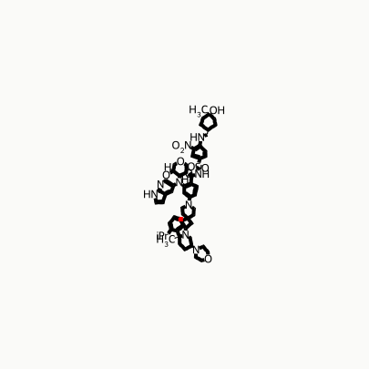 CC(C)c1ccccc1[C@]1(C)CC[C@H](N2CCOCC2)CN1C1CC2(CCN(c3ccc(C(=O)NS(=O)(=O)c4ccc(NC[C@H]5CC[C@](C)(O)CC5)c([N+](=O)[O-])c4)c(N4c5cc6cc[nH]c6nc5O[C@H]5COCC[C@@H]54)c3)CC2)C1